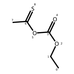 CCOC(=O)OC(C)=S